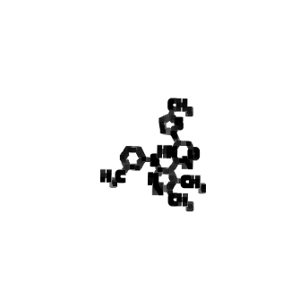 Cc1cccc(Sc2nnc(C)c(C)c2C2=NOC[C@H](c3ccc(C)s3)N2)c1